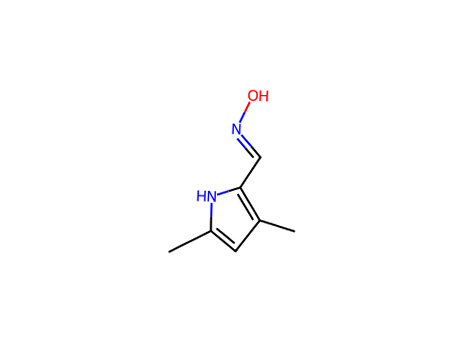 Cc1cc(C)c(C=NO)[nH]1